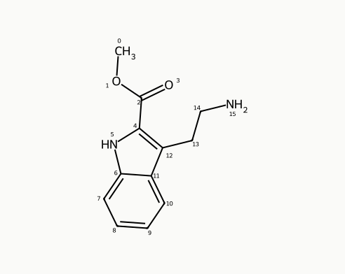 COC(=O)c1[nH]c2ccccc2c1CCN